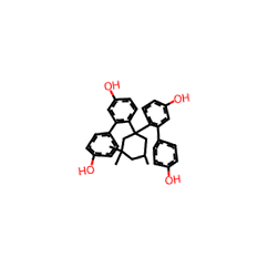 CC1CC(C)(C)CC(c2ccc(O)cc2-c2ccc(O)cc2)(c2ccc(O)cc2-c2ccc(O)cc2)C1